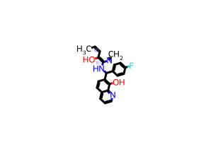 C=N/C(NC(c1ccc(F)cc1)c1ccc2cccnc2c1O)=C(O)\C=C/C